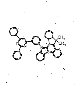 CC1(C)c2ccccc2-c2c1c1ncccc1c1c3ccccc3n(-c3cccc(-c4cc(-c5ccccc5)nc(-c5ccccc5)n4)c3)c21